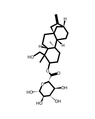 C=C1C[C@]23CC[C@H]4C(C)(CO)C(OC(=O)[C@H]5O[C@@H](O)[C@H](O)[C@@H](O)[C@@H]5O)CC[C@]4(C)[C@H]2CC[C@@H]1C3